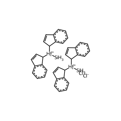 [Cl-].[Cl-].[SiH3][Hf+]([CH]1C=Cc2ccccc21)[CH]1C=Cc2ccccc21.[SiH3][Hf+]([CH]1C=Cc2ccccc21)[CH]1C=Cc2ccccc21